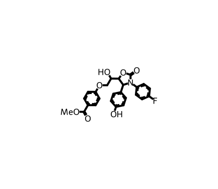 COC(=O)c1ccc(OCC(O)C2OC(=O)N(c3ccc(F)cc3)C2c2ccc(O)cc2)cc1